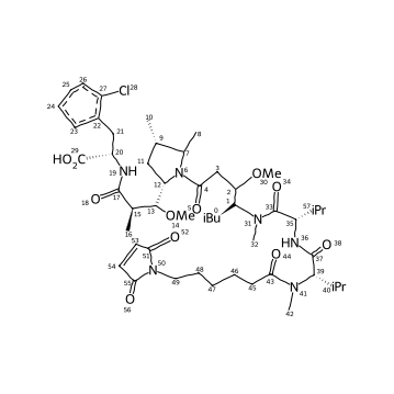 CC[C@H](C)C(C(CC(=O)N1C(C)[C@@H](C)C[C@H]1C(OC)[C@@H](C)C(=O)N[C@@H](Cc1ccccc1Cl)C(=O)O)OC)N(C)C(=O)[C@@H](NC(=O)[C@H](C(C)C)N(C)C(=O)CCCCCN1C(=O)C=CC1=O)C(C)C